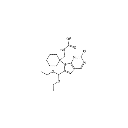 CCOC(OCC)c1cc2cnc(Cl)nc2n1C1(CNC(=O)O)CCCCC1